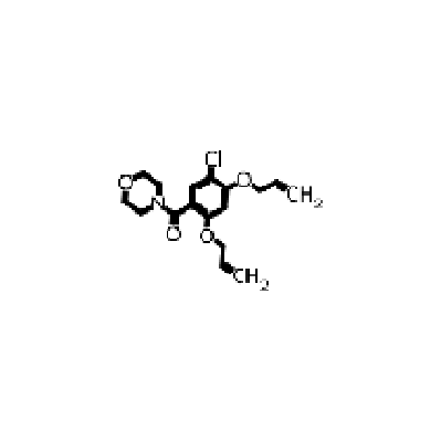 C=CCOc1cc(OCC=C)c(C(=O)N2CCOCC2)cc1Cl